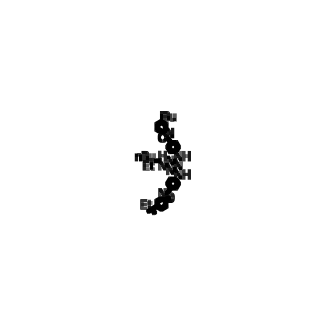 CCCCC(CC)CNc1nc(Nc2ccc(-c3nc4cc(C(C)CC)ccc4o3)cc2)nc(Nc2ccc(-c3nc4cc(C(C)(C)CC)ccc4o3)cc2)n1